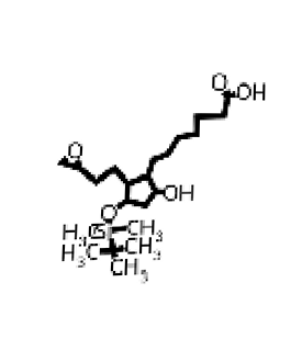 CC(C)(C)[Si](C)(C)OC1CC(O)C(CCCCCCC(=O)O)C1CCC1CO1